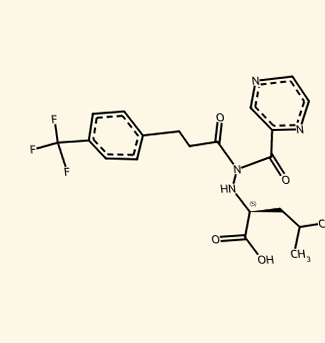 CC(C)C[C@H](NN(C(=O)CCc1ccc(C(F)(F)F)cc1)C(=O)c1cnccn1)C(=O)O